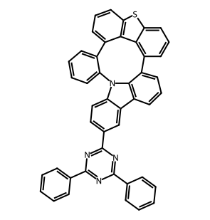 c1ccc(-c2nc(-c3ccccc3)nc(-c3ccc4c(c3)c3cccc5c6cccc7sc8cccc(c9ccccc9n4c53)c8c76)n2)cc1